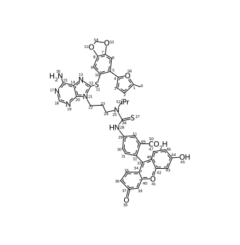 Cc1ccc(-c2cc3c(cc2Sc2nc4c(N)ncnc4n2CCCN(C(=S)Nc2ccc(-c4c5ccc(=O)cc-5oc5cc(O)ccc45)c(C(=O)O)c2)C(C)C)OCO3)o1